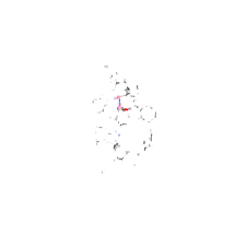 CC(C)(C)c1cc(N2c3ccccc3B3c4ccccc4N4c5cc(C(C)(C)C)cc(c5)C(C)(C)c5ccc(cc5)-c5cccc(-c6ccccc6)c5-c5cc2c3c4c5)cc(C(C)(C)C)c1